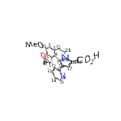 COc1cc2c(cc1OC(C)C)-c1c(-c3ccccn3)cc(C(=O)O)n1CC2